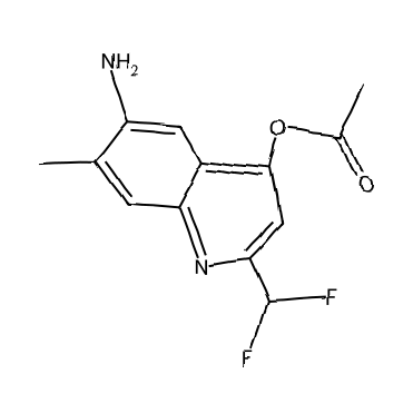 CC(=O)Oc1cc(C(F)F)nc2cc(C)c(N)cc12